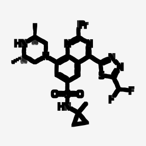 CC(C)c1nc(-c2nnc(C(F)F)s2)c2cc(S(=O)(=O)NC3(C)CC3)cc(N3C[C@H](C)N[C@@H](C)C3)c2n1